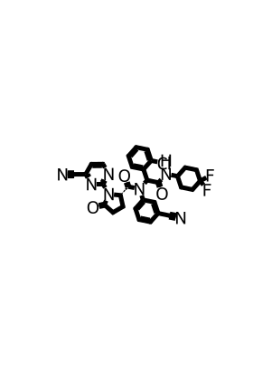 N#Cc1cccc(N(C(=O)[C@@H]2CCC(=O)N2c2nccc(C#N)n2)C(C(=O)NC2CCC(F)(F)CC2)c2ccccc2Cl)c1